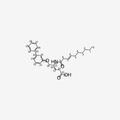 CCCCCCC=CCC(=O)N[C@@H](CCC(=O)O)COc1cccc(-c2ccccc2)c1